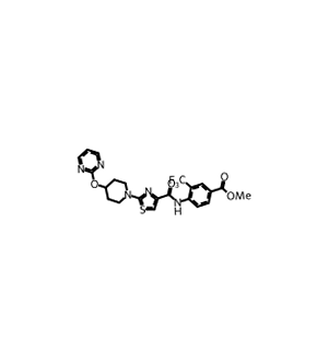 COC(=O)c1ccc(NC(=O)c2csc(N3CCC(Oc4ncccn4)CC3)n2)c(C(F)(F)F)c1